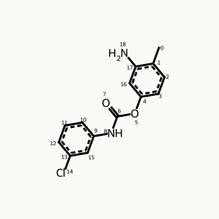 Cc1ccc(OC(=O)Nc2cccc(Cl)c2)cc1N